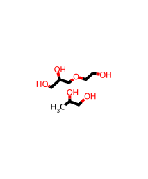 CC(O)CO.OCCOCC(O)CO